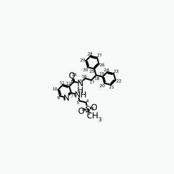 CS(=O)(=O)CCNc1ncccc1C(=O)NCCC(c1ccccc1)c1ccccc1